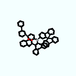 c1ccc(-c2cccc(-c3ccc(N(c4ccc5c(c4)C4(c6ccccc6-c6ccccc64)c4ccccc4-5)c4c(-c5ccc6ccccc6c5)c5ccccc5c5ccccc45)cc3)c2)cc1